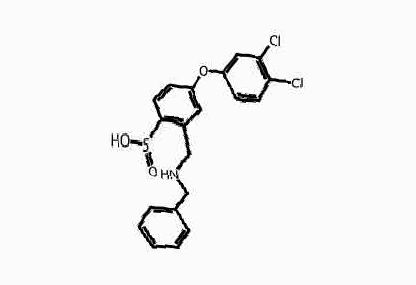 O=S(O)c1ccc(Oc2ccc(Cl)c(Cl)c2)cc1CNCc1ccccc1